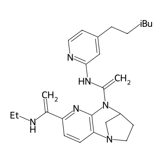 C=C(NCC)c1ccc2c(n1)N(C(=C)Nc1cc(CCC(C)CC)ccn1)C1CCN2C1